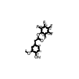 COc1cc(CC(=O)Oc2c(F)c(F)c(F)c(F)c2F)ccc1O